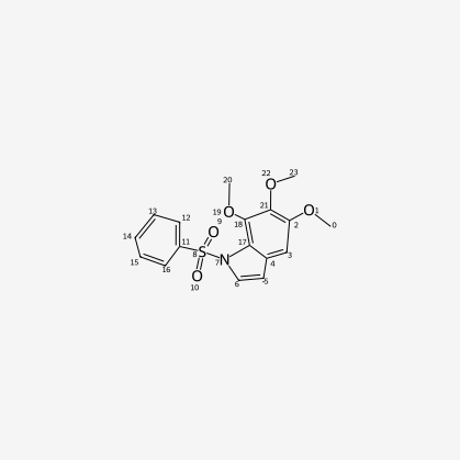 COc1cc2[c]cn(S(=O)(=O)c3ccccc3)c2c(OC)c1OC